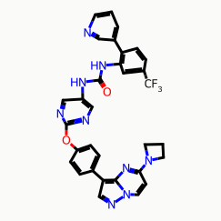 O=C(Nc1cnc(Oc2ccc(-c3cnn4ccc(N5CCC5)nc34)cc2)nc1)Nc1cc(C(F)(F)F)ccc1-c1cccnc1